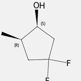 C[C@@H]1CC(F)(F)C[C@@H]1O